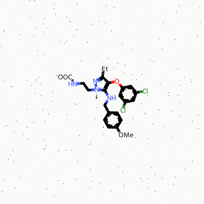 CCC1=N[N@+](C)(CCNC(=O)[O-])C(NCc2ccc(OC)cc2)=C1Oc1cc(Cl)cc(Cl)c1